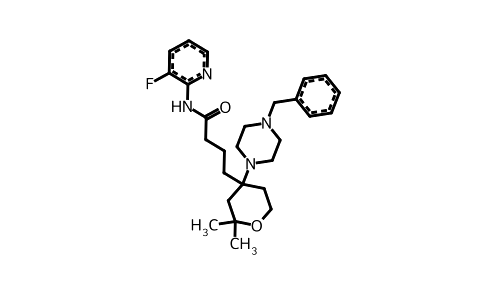 CC1(C)CC(CCCC(=O)Nc2ncccc2F)(N2CCN(Cc3ccccc3)CC2)CCO1